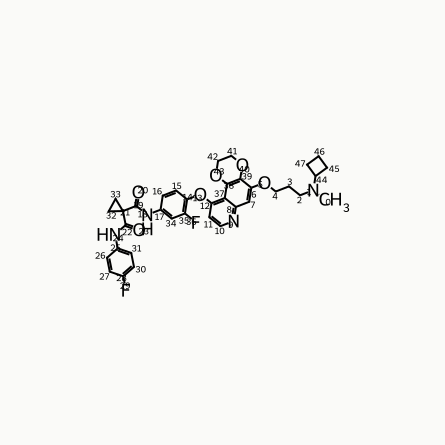 CN(CCCOc1cc2nccc(Oc3ccc(NC(=O)C4(C(=O)Nc5ccc(F)cc5)CC4)cc3F)c2c2c1OCCO2)C1CCC1